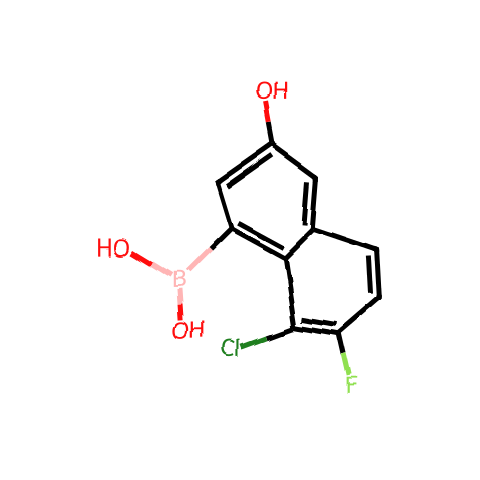 OB(O)c1cc(O)cc2ccc(F)c(Cl)c12